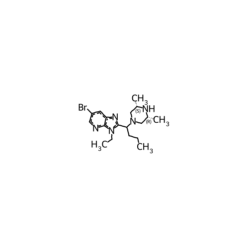 CCCC(c1nc2cc(Br)cnc2n1CC)N1C[C@@H](C)N[C@@H](C)C1